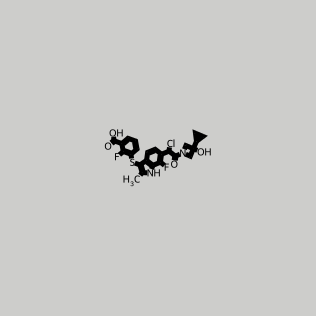 Cc1[nH]c2c(F)c(C(Cl)C(=O)N3CC(O)(C4CC4)C3)ccc2c1Sc1cccc(C(=O)O)c1F